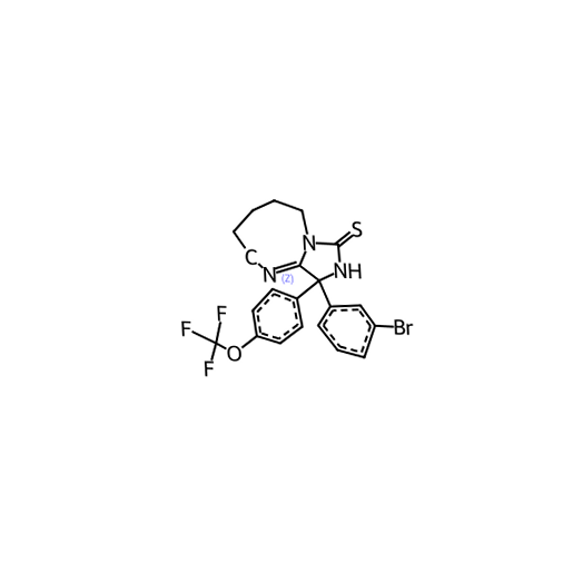 FC(F)(F)Oc1ccc(C2(c3cccc(Br)c3)NC(=S)N3CCCCC/N=C\32)cc1